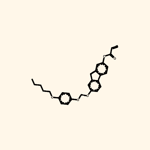 C=CC(=O)Oc1ccc2c(c1)Cc1cc(OCOc3ccc(OCCCCC)cc3)ccc1-2